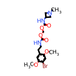 COc1cc(CCNC(=O)OCOC(=O)NC2CN(C)C2)c(OC)cc1Br